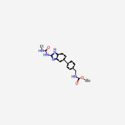 CCNC(=O)Nc1nc2cc(-c3ccc(CNC(=O)OC(C)(C)C)cc3)ccc2[nH]1